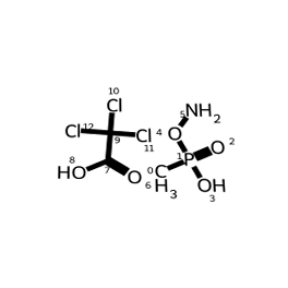 CP(=O)(O)ON.O=C(O)C(Cl)(Cl)Cl